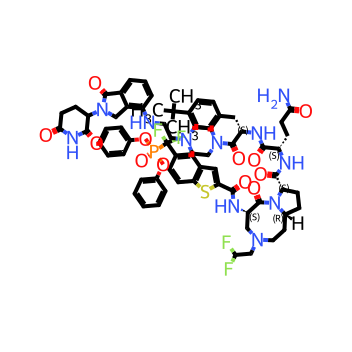 CC(C)(C)c1ccc(C[C@H](NC(=O)[C@H](CCC(N)=O)NC(=O)[C@@H]2CC[C@@H]3CCN(CC(F)F)C[C@H](NC(=O)c4cc5cc(C(F)(F)P(=O)(Oc6ccccc6)Oc6ccccc6)ccc5s4)C(=O)N32)C(=O)N2CCN(CCNc3cccc4c3CN(C3CCC(=O)NC3=O)C4=O)CC2)cc1